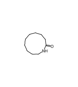 O=C1CCCCCCCCCN1